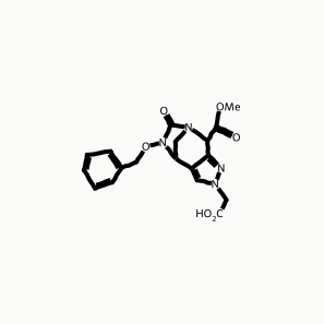 COC(=O)C1c2nn(CC(=O)O)cc2C2CN1C(=O)N2OCc1ccccc1